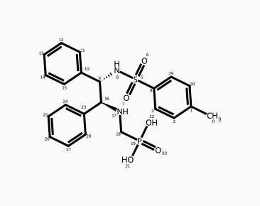 Cc1ccc(S(=O)(=O)N[C@@H](c2ccccc2)[C@@H](NCP(=O)(O)O)c2ccccc2)cc1